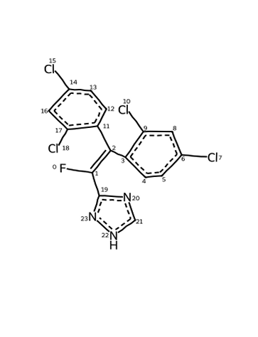 FC(=C(c1ccc(Cl)cc1Cl)c1ccc(Cl)cc1Cl)c1nc[nH]n1